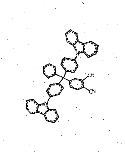 N#Cc1ccc(C(c2ccccc2)(c2ccc(-n3c4ccccc4c4ccccc43)cc2)c2ccc(-n3c4ccccc4c4ccccc43)cc2)cc1C#N